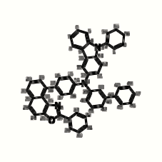 C1=CC(n2c3ccccc3c3cc(N(c4ccc(-c5cccc6ccc7oc(-c8ccccc8)nc7c56)cc4)c4cccc(-c5ccccc5)c4)ccc32)=CCC1